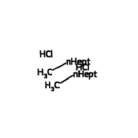 CCCCCCCC.CCCCCCCC.Cl.Cl